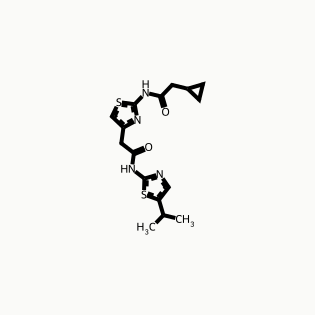 CC(C)c1cnc(NC(=O)Cc2csc(NC(=O)CC3CC3)n2)s1